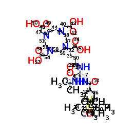 CC(C)NC(=O)[C@@H](CNC(=O)c1ccc([SH](=O)(C(C)(C)C)C(C)(C)C)cc1)NC(=O)CC[C@@H](C(=O)O)N1CCN(CC(=O)O)CCN(CC(=O)O)CCN(CC(=O)O)CC1